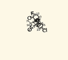 O=C1C[S+]([O-])CC2COc3c(F)ccc(F)c3[C@]12[S+]([O-])c1ccc(Cl)cc1